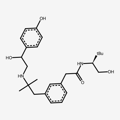 CC(C)(Cc1cccc(CC(=O)N[C@H](CO)C(C)(C)C)c1)NCC(O)c1ccc(O)cc1